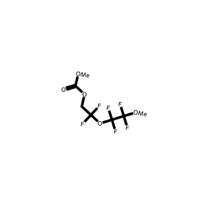 COC(=O)OCC(F)(F)OC(F)(F)C(F)(F)OC